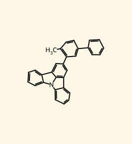 Cc1ccc(-c2ccccc2)cc1-c1cc2c3ccccc3n3c4ccccc4c(c1)c23